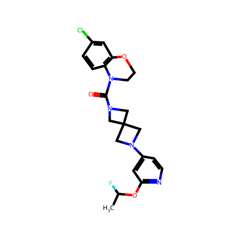 CC(F)Oc1cc(N2CC3(CN(C(=O)N4CCOc5cc(Cl)ccc54)C3)C2)ccn1